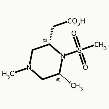 C[C@@H]1CN(C)C[C@H](CC(=O)O)N1S(C)(=O)=O